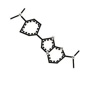 CN(C)c1ccc(-c2cn3ccc(N(C)C)nc3n2)cc1